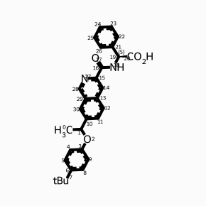 CC(Oc1ccc(C(C)(C)C)cc1)c1ccc2cc(C(=O)N[C@H](C(=O)O)c3ccccc3)ncc2c1